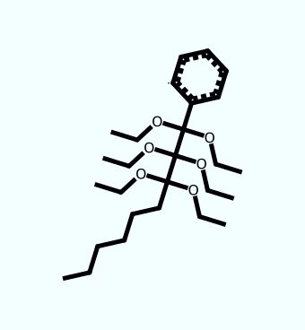 CCCCCCC(OCC)(OCC)C(OCC)(OCC)C(OCC)(OCC)c1[c]cccc1